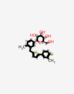 Cc1cc(-c2ccc(Cc3cc([C@@H]4O[C@H](CO)[C@@H](O)[C@H](O)[C@H]4O)ccc3C)s2)ccc1F